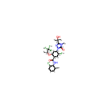 Cc1cccc(F)c1NC(=O)c1cc(F)c(-n2nc(C(C)(C)O)n(C)c2=O)cc1O[C@@H](C)C(F)(F)F